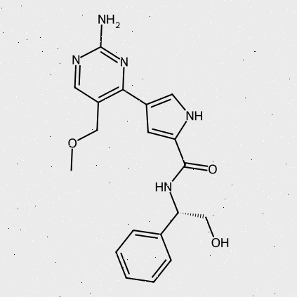 COCc1cnc(N)nc1-c1c[nH]c(C(=O)N[C@H](CO)c2ccccc2)c1